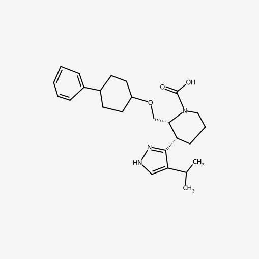 CC(C)c1c[nH]nc1[C@H]1CCCN(C(=O)O)[C@H]1COC1CCC(c2ccccc2)CC1